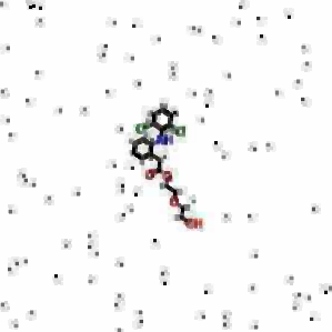 O=C(Cc1ccccc1Nc1c(Cl)cccc1Cl)OCCOCCO